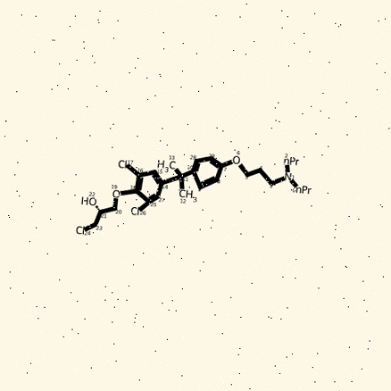 CCCN(CCC)CCCOc1ccc(C(C)(C)c2cc(Cl)c(OC[C@@H](O)CCl)c(Cl)c2)cc1